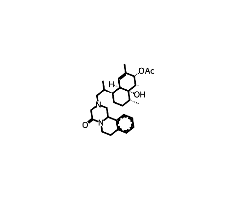 CC(=O)O[C@@H]1[CH][C@@]2(O)[C@H](C)CC[C@@H](C(C)CN3CC(=O)N4CCc5ccccc5C4C3)[C@H]2C=C1C